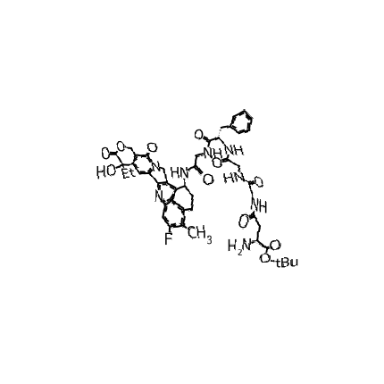 CC[C@@]1(O)C(=O)OCc2c1cc1n(c2=O)Cc2c-1nc1cc(F)c(C)c3c1c2[C@@H](NC(=O)CNC(=O)[C@H](Cc1ccccc1)NC(=O)CNC(=O)CNC(=O)C[C@H](N)C(=O)OC(C)(C)C)CC3